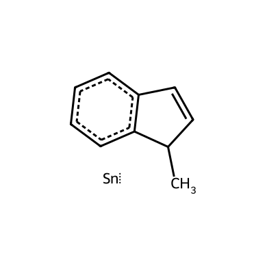 CC1C=Cc2ccccc21.[Sn]